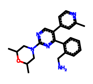 Cc1cc(-c2cnc(N3CC(C)OC(C)C3)nc2-c2ccccc2CN)ccn1